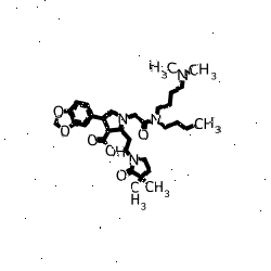 CCCCN(CCCCN(C)C)C(=O)CN1CC(c2ccc3c(c2)OCO3)C(C(=O)O)C1CCN1CCC(C)(C)C1=O